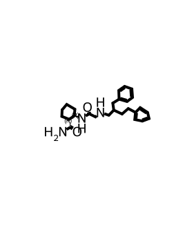 NC(=O)[C@@H]1CCCC[C@H]1NC(=O)CNCC(CCc1ccccc1)Cc1ccccc1